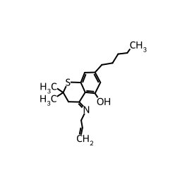 C=CCN=C1CC(C)(C)Sc2cc(CCCCC)cc(O)c21